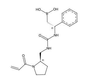 C=CC(=O)N1CCC[C@@H]1CNC(=O)N[C@H](CB(O)O)c1ccccc1